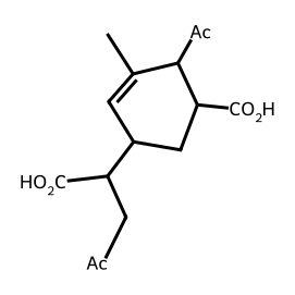 CC(=O)CC(C(=O)O)C1C=C(C)C(C(C)=O)C(C(=O)O)C1